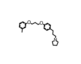 Cc1cccc(OCCCOc2ccc(CCCN3CCCC3)cc2)c1